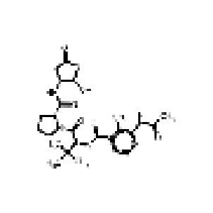 CC(=O)Nc1cccc(C(=O)N[C@H](C(=O)N2CCC[C@H]2C(=O)N[C@H]2CC(=O)O[C@H]2O)C(C)(C)C)c1C